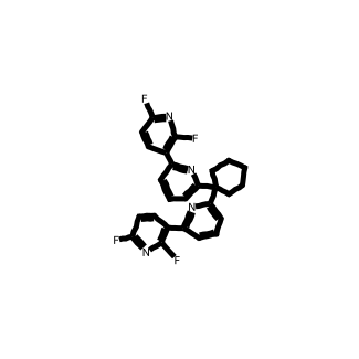 Fc1ccc(-c2cccc(C3(c4cccc(-c5ccc(F)nc5F)n4)CCCCC3)n2)c(F)n1